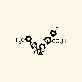 O=C(O)[C@@H]1CN([C@@H]2CC[C@@](C(=O)N3CCN(c4cccc(C(F)(F)F)c4)CC3)(C3CC3)OC2)CC[C@H]1c1ccc(F)cc1